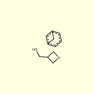 OCC1COC1.c1cc2cc(c1)C2